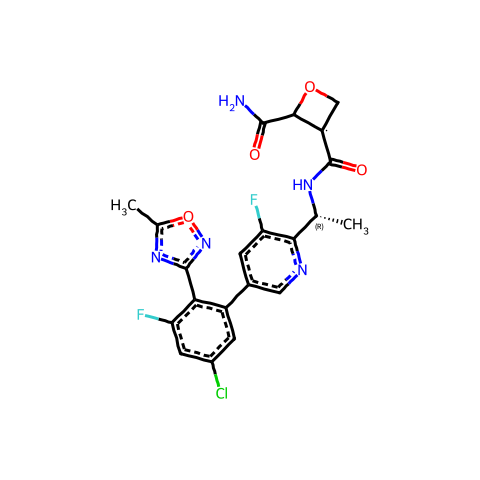 Cc1nc(-c2c(F)cc(Cl)cc2-c2cnc([C@@H](C)NC(=O)[C]3COC3C(N)=O)c(F)c2)no1